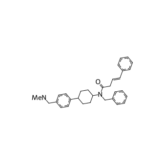 CNCc1ccc(C2CCC(N(Cc3ccccc3)C(=O)CC=Cc3ccccc3)CC2)cc1